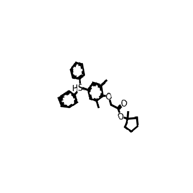 Cc1cc([SH](c2ccccc2)c2ccccc2)cc(C)c1OCC(=O)OC1(C)CCCC1